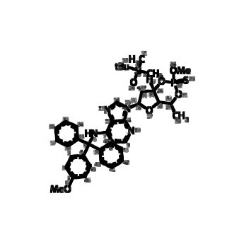 COc1ccc(C(Nc2ncnc3c2ncn3[C@@H]2OC3[C@H](C)OP(=S)(OC)O[C@H]3[C@H]2O[Si](C)(C)C(C)(C)C)(c2ccccc2)c2ccccc2)cc1